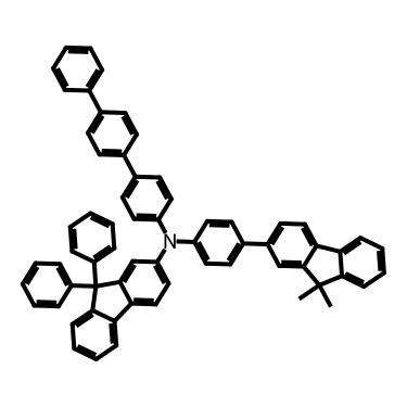 CC1(C)c2ccccc2-c2ccc(-c3ccc(N(c4ccc(-c5ccc(-c6ccccc6)cc5)cc4)c4ccc5c(c4)C(c4ccccc4)(c4ccccc4)c4ccccc4-5)cc3)cc21